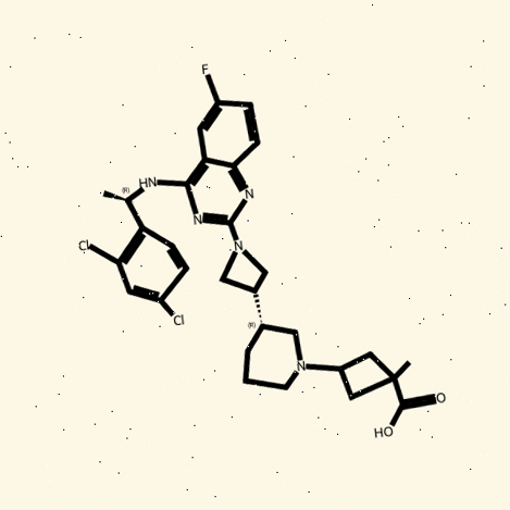 C[C@@H](Nc1nc(N2CC([C@H]3CCCN(C4CC(C)(C(=O)O)C4)C3)C2)nc2ccc(F)cc12)c1ccc(Cl)cc1Cl